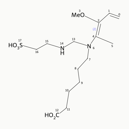 C=C/C(OC)=C(\C)N(CCCCCC(=O)O)CNCCS(=O)(=O)O